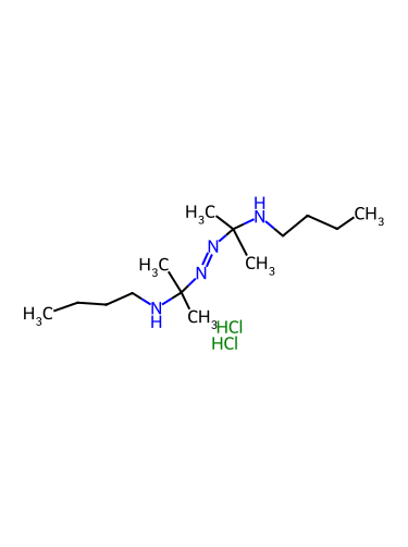 CCCCNC(C)(C)N=NC(C)(C)NCCCC.Cl.Cl